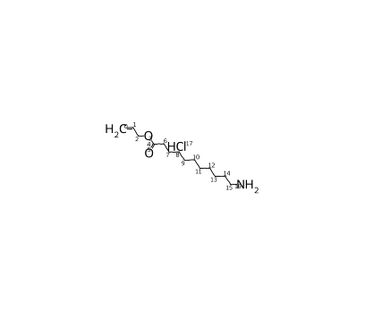 C=CCOC(=O)CCCCCCCCCCN.Cl